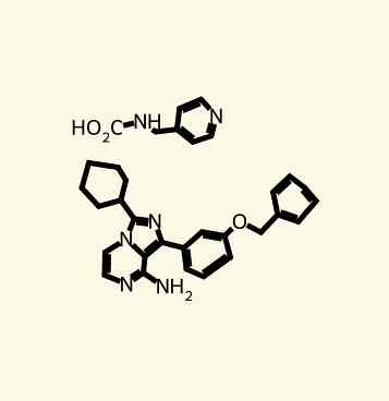 Nc1nccn2c(C3CCCCC3)nc(-c3cccc(OCc4ccccc4)c3)c12.O=C(O)NCc1ccncc1